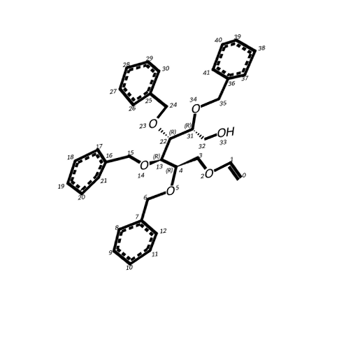 C=COC[C@@H](OCc1ccccc1)[C@@H](OCc1ccccc1)[C@H](OCc1ccccc1)[C@@H](CO)OCc1ccccc1